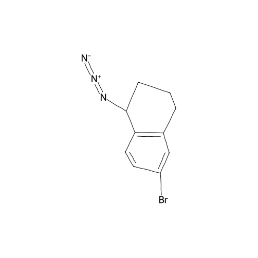 [N-]=[N+]=NC1CCCc2cc(Br)ccc21